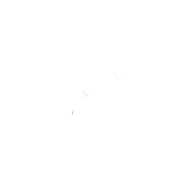 Cn1c2cccc3c4cccc(-c5ccccc5)c4n4c5ccccc5c5ccc1c(c32)c54